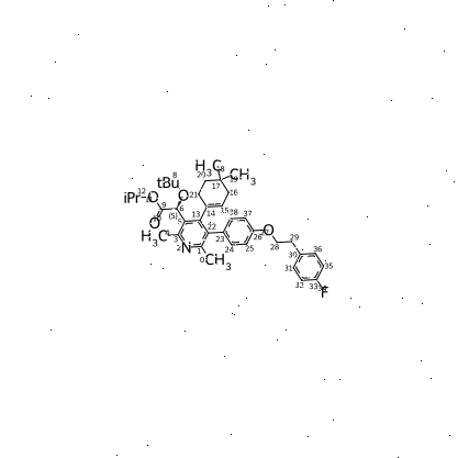 Cc1nc(C)c([C@H](OC(C)(C)C)C(=O)OC(C)C)c(C2=CCC(C)(C)CC2)c1-c1ccc(OCCc2ccc(F)cc2)cc1